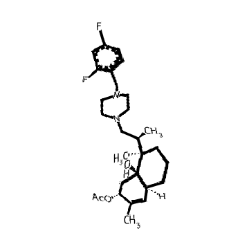 CC(=O)O[C@@H]1[C][C@@]2(O)[C@H](C=C1C)CCC[C@]2(C)[C@H](C)CN1CCN(c2ccc(F)cc2F)CC1